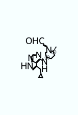 C[C@H]1CC[C@@H](Nc2ncnc3[nH]cc(CC4CC4)c23)CN1C=CC=O